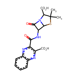 CC1(C)SC2C(NC(=O)c3nc4ccccc4nc3C(=O)O)C(=O)N2C1C(=O)O